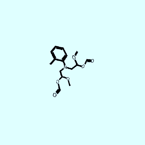 COC(CN(CC(OC)OC=O)c1ccccc1C)OC=O